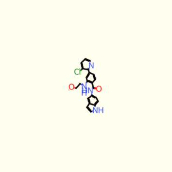 COCCNc1cc(-c2ncccc2Cl)ccc1C(=O)Nc1ccc2[nH]ccc2c1